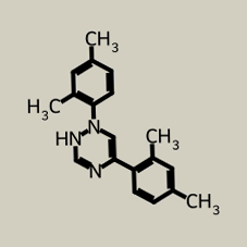 Cc1ccc(C2=CN(c3ccc(C)cc3C)NC=N2)c(C)c1